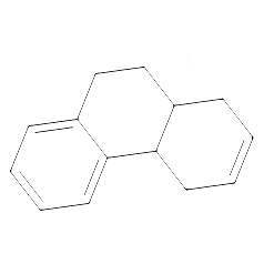 C1=CC[C@H]2c3ccccc3CC[C@H]2C1